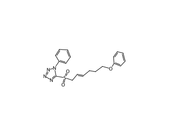 O=S(=O)(CC=CCCCOc1ccccc1)c1nnnn1-c1ccccc1